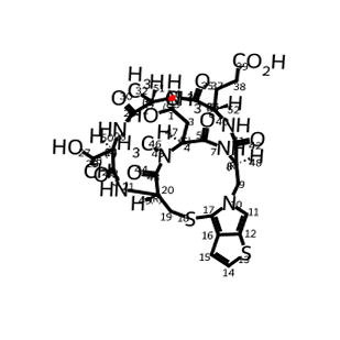 C[C@H](O)C[C@H]1C(=O)N[C@@H]2Cn3cc4sccc4c3SC[C@H](NC(=O)[C@@H]([C@H](C)O)NC(=O)[C@H](C)NC(=O)[C@H](CCC(=O)O)NC2=O)C(=O)N1C